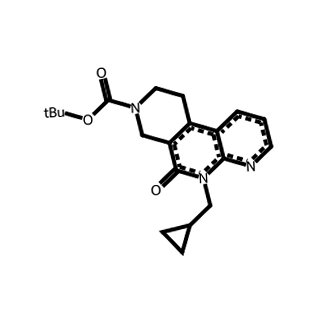 CC(C)(C)OC(=O)N1CCc2c(c(=O)n(CC3CC3)c3ncccc23)C1